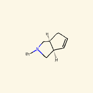 CC(C)N1C[C@H]2CC=C[C@H]2C1